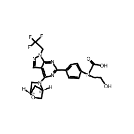 O=C(O)N(CCO)c1ccc(-c2nc(N3C[C@@H]4C[C@H]3CO4)c3cnn(CC(F)(F)F)c3n2)cc1